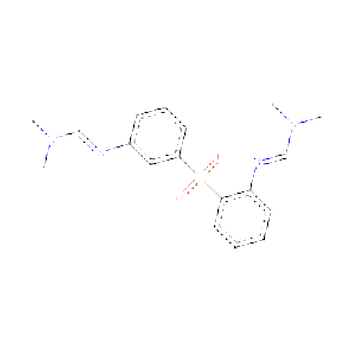 CN(C)C=Nc1cccc(S(=O)(=O)c2ccccc2N=CN(C)C)c1